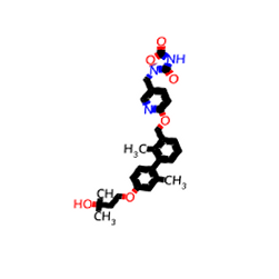 Cc1cc(OCCC(C)(C)O)ccc1-c1cccc(COc2ccc(Cn3oc(=O)[nH]c3=O)cn2)c1C